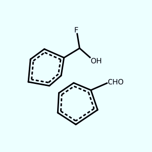 O=Cc1ccccc1.OC(F)c1ccccc1